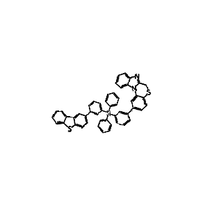 c1ccc([Si](c2ccccc2)(c2cccc(-c3ccc4c(c3)-n3c(nc5ccccc53)CS4)c2)c2cccc(-c3ccc4sc5ccccc5c4c3)c2)cc1